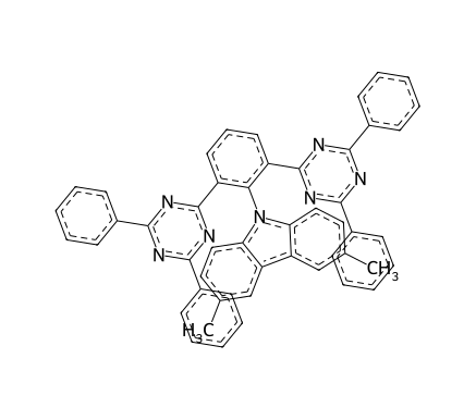 Cc1ccc2c(c1)c1cc(C)ccc1n2-c1c(-c2nc(-c3ccccc3)nc(-c3ccccc3)n2)cccc1-c1nc(-c2ccccc2)nc(-c2ccccc2)n1